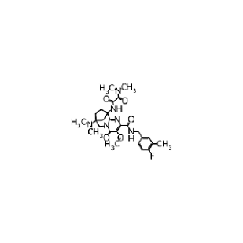 COc1c(C(=O)NCc2ccc(F)c(C)c2)nc2n(c1=O)CC1(N(C)C)CCC2(NC(=O)C(=O)N(C)C)CC1